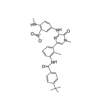 CNc1ccc(Nc2nc(-c3cccc(NC(=O)c4ccc(C(C)(C)C)cc4)c3C)cn(C)c2=O)cc1[N+](=O)[O-]